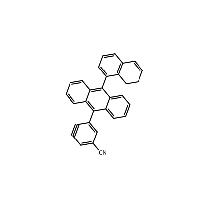 N#Cc1cc#cc(-c2c3ccccc3c(-c3cccc4c3CCC=C4)c3ccccc23)c1